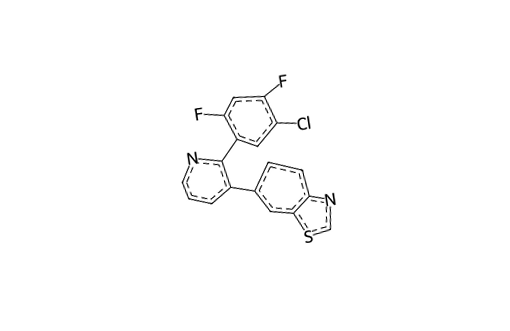 Fc1cc(F)c(-c2ncccc2-c2ccc3ncsc3c2)cc1Cl